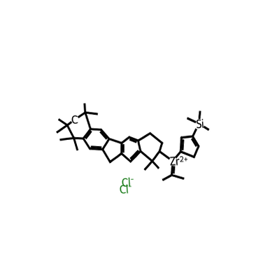 C[C](C)=[Zr+2]([C]1=CC([Si](C)(C)C)=CC1)[CH]1CCc2cc3c(cc2C1(C)C)Cc1cc2c(cc1-3)C(C)(C)CC(C)(C)C2(C)C.[Cl-].[Cl-]